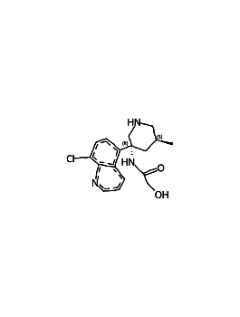 C[C@@H]1CNC[C@](NC(=O)CO)(c2ccc(Cl)c3ncccc23)C1